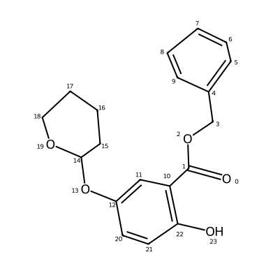 O=C(OCc1ccccc1)c1cc(OC2CCCCO2)ccc1O